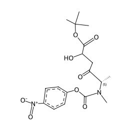 C[C@@H](C(=O)CC(O)C(=O)OC(C)(C)C)N(C)C(=O)Oc1ccc([N+](=O)[O-])cc1